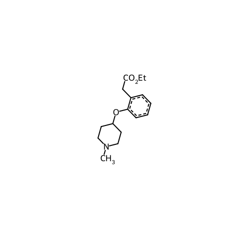 CCOC(=O)Cc1ccccc1OC1CCN(C)CC1